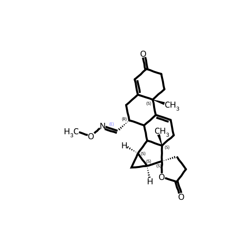 CO/N=C/[C@@H]1CC2=CC(=O)CC[C@]2(C)C2=CC[C@@]3(C)C(C21)[C@@H]1C[C@@H]1[C@@]31CCC(=O)O1